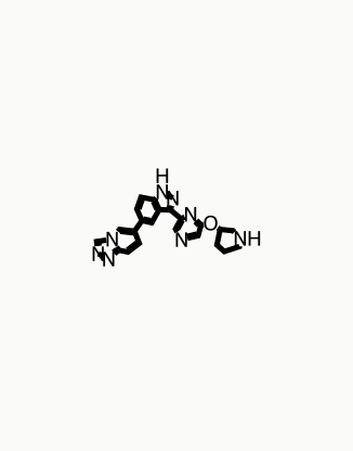 c1cc2[nH]nc(-c3cncc(OC4CCCNC4)n3)c2cc1-c1ccc2nncn2c1